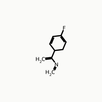 C=NC(=C)C1C=CC(F)=CC1